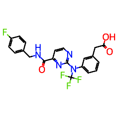 O=C(O)Cc1cccc(N(c2nccc(C(=O)NCc3ccc(F)cc3)n2)C(F)(F)F)c1